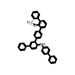 COc1c(-c2ccccc2)cccc1-c1ccc(C2C=C(c3ccccc3)C=CC2Nc2ccc(-c3ccccc3)cc2)cc1